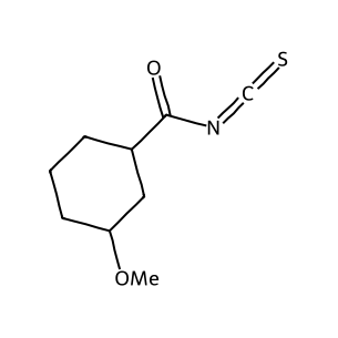 COC1CCCC(C(=O)N=C=S)C1